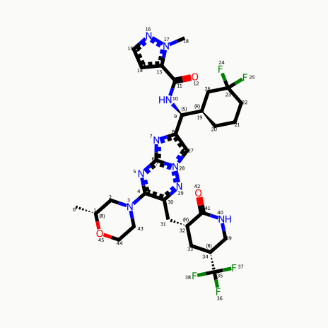 C[C@@H]1CN(c2nc3nc([C@@H](NC(=O)c4ccnn4C)[C@@H]4CCCC(F)(F)C4)cn3nc2C[C@H]2C[C@@H](C(F)(F)F)CNC2=O)CCO1